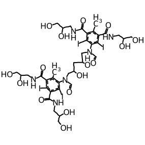 Cc1c(C(=O)NCC(O)CO)c(I)c(N(C=O)CC(O)CC(O)CN(C=O)c2c(C)c(C(=O)NCC(O)CO)c(I)c(C(=O)NCC(O)CO)c2I)c(I)c1C(=O)NCC(O)CO